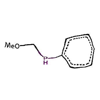 COCPc1ccccc1